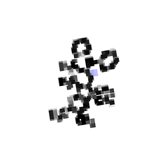 C=C/C(=C\C1=C(C)c2cc(C)c(C)cc2C1(C)C)N(c1ccccc1)c1ccccc1